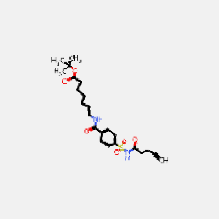 C#CCCC(=O)NS(=O)(=O)c1ccc(C(=O)NCCCCCCC(=O)OC(C)(C)C)cc1